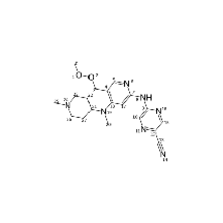 COOCc1cnc(Nc2cnc(C#N)cn2)cc1N(C)C1CCN(C)CC1